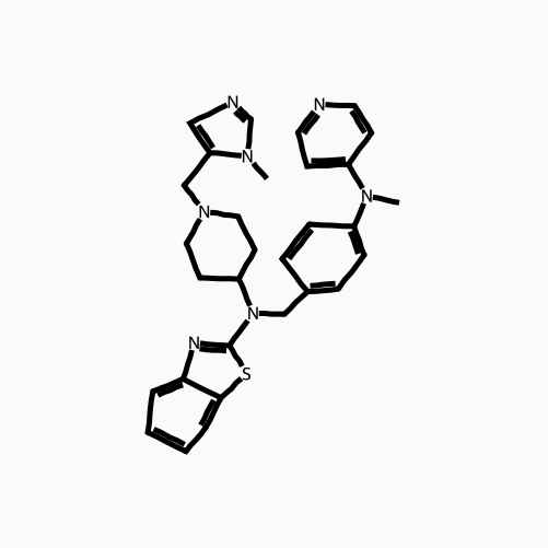 CN(c1ccncc1)c1ccc(CN(c2nc3ccccc3s2)C2CCN(Cc3cncn3C)CC2)cc1